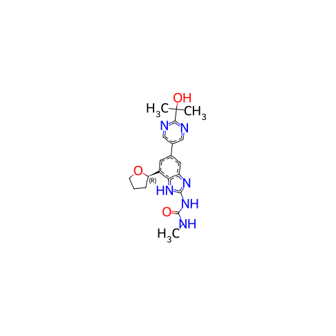 CNC(=O)Nc1nc2cc(-c3cnc(C(C)(C)O)nc3)cc([C@H]3CCCO3)c2[nH]1